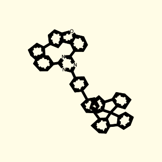 c1ccc(-c2ccc3oc4cccc(-c5nc(-c6ccccc6)nc(-c6ccc(-c7ccc(-c8cccc9c8C8(c%10ccccc%10-c%10ccccc%108)c8ccccc8-9)cc7)cc6)n5)c4c3c2)cc1